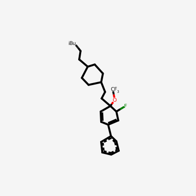 CCC(C)CCC1CCC(CCC2(OC(F)(F)F)C=CC(c3ccccc3)=CC2F)CC1